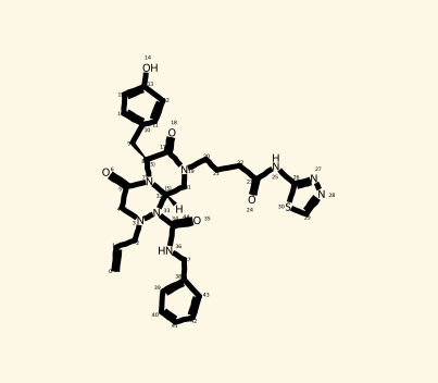 C=CCN1CC(=O)N2[C@@H](Cc3ccc(O)cc3)C(=O)N(CCCC(=O)Nc3nncs3)C[C@@H]2N1C(=O)NCc1ccccc1